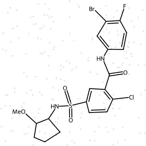 COC1CCCC1NS(=O)(=O)c1ccc(Cl)c(C(=O)Nc2ccc(F)c(Br)c2)c1